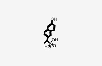 CC(c1ccc2cc(O)ccc2c1)P(=O)(O)O